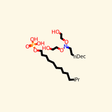 CC(C)CCCCCCCCCCOP(=O)(O)O.CCCCCCCCCCCCN(OCCO)OCCO